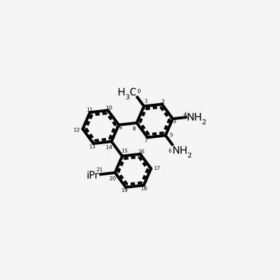 Cc1cc(N)c(N)cc1-c1ccccc1-c1ccccc1C(C)C